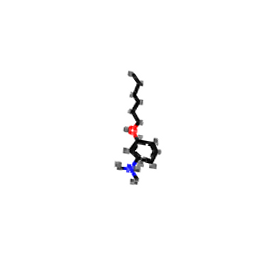 CCCCCCOc1[c]ccc(N(C)C)c1